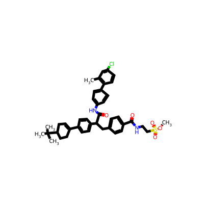 COS(=O)(=O)CCNC(=O)c1ccc(CC(C(=O)Nc2ccc(-c3ccc(Cl)cc3C)cc2)c2ccc(C3=CCC(C(C)(C)C)CC3)cc2)cc1